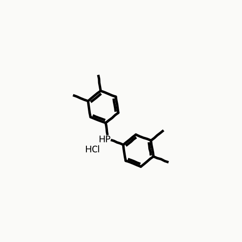 Cc1ccc(Pc2ccc(C)c(C)c2)cc1C.Cl